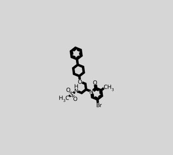 Cc1cc(Br)cn(C(CNS(C)(=O)=O)COC2CCC(c3ccccc3)CC2)c1=O